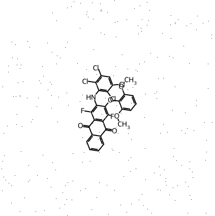 COc1cccc(OC)c1Oc1c(F)c2c(c(F)c1Nc1c(Cl)c(Cl)cc(Cl)c1Cl)C(=O)c1ccccc1C2=O